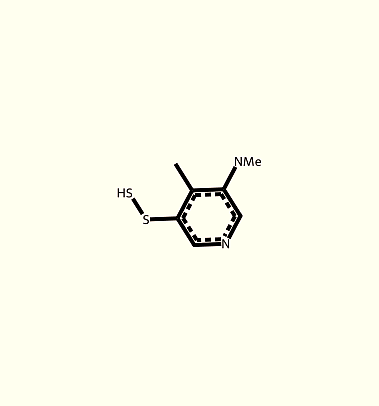 CNc1cncc(SS)c1C